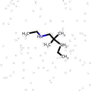 CCNCC(C)(C)[SiH2]CC